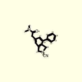 CN(C)C(=O)Cc1cc2c(c(-c3ccccc3)c1)CN(C#N)C2